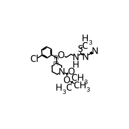 CSC(=NC#N)NCCO[C@@H](c1cccc(Cl)c1)[C@@H]1CCCN(C(=O)OC(C)(C)C)C1